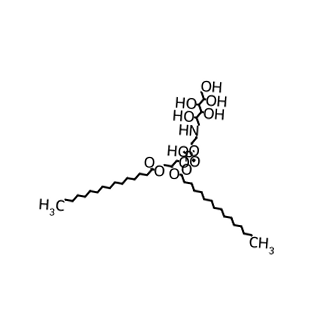 CCCCCCCCCCCCCCCC(=O)OCC(COP(=O)(O)OCCNCC(O)C(O)C(O)C(O)CO)OC(=O)CCCCCCCCCCCCCCC